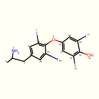 CC(N)Cc1cc(I)c(Oc2cc(I)c(O)c(I)c2)c(I)c1